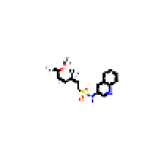 C=C(/C=C\C(C)=C/CS(=O)(=O)Nc1cnc2ccccc2c1)OC(F)(F)F